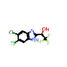 O[C@H](c1nc2cc(Cl)c(Cl)cc2[nH]1)C(F)(F)F